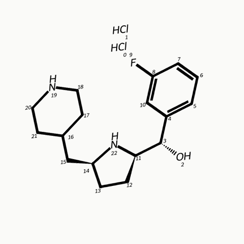 Cl.Cl.O[C@@H](c1cccc(F)c1)[C@H]1CC[C@@H](CC2CCNCC2)N1